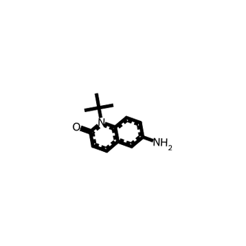 CC(C)(C)n1c(=O)ccc2cc(N)ccc21